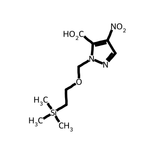 C[Si](C)(C)CCOCn1ncc([N+](=O)[O-])c1C(=O)O